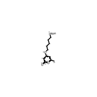 CCCCCCCCCCCCCCOc1cc(C)oc(=O)c1